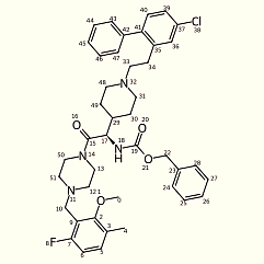 COc1c(C)ccc(F)c1CN1CCN(C(=O)[C@H](NC(=O)OCc2ccccc2)C2CCN(CCc3cc(Cl)ccc3-c3ccccc3)CC2)CC1